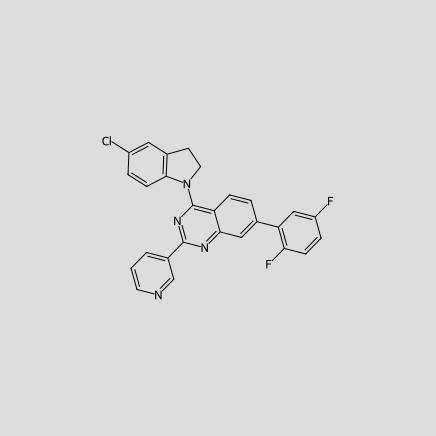 Fc1ccc(F)c(-c2ccc3c(N4CCc5cc(Cl)ccc54)nc(-c4cccnc4)nc3c2)c1